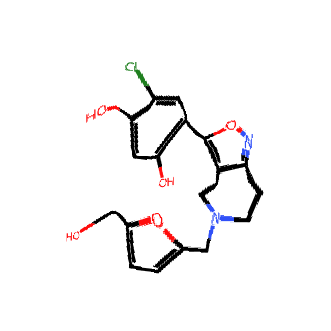 OCc1ccc(CN2CCc3noc(-c4cc(Cl)c(O)cc4O)c3C2)o1